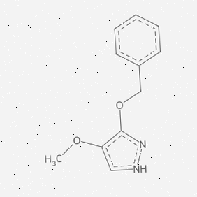 COc1c[nH]nc1OCc1ccccc1